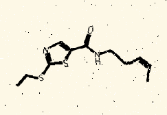 C/C=C\CCNC(=O)c1cnc(SCC)s1